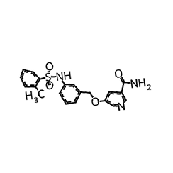 Cc1ccccc1S(=O)(=O)Nc1cccc(COc2cncc(C(N)=O)c2)c1